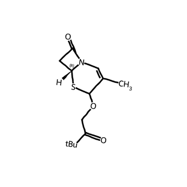 CC1=CN2C(=O)C[C@H]2SC1OCC(=O)C(C)(C)C